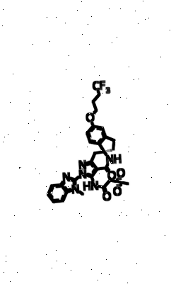 Cn1c(-n2nc3c(c2NC(=O)CS(C)(=O)=O)C(=O)N[C@@]2(CCc4cc(OCCCC(F)(F)F)ccc42)C3)nc2ccccc21